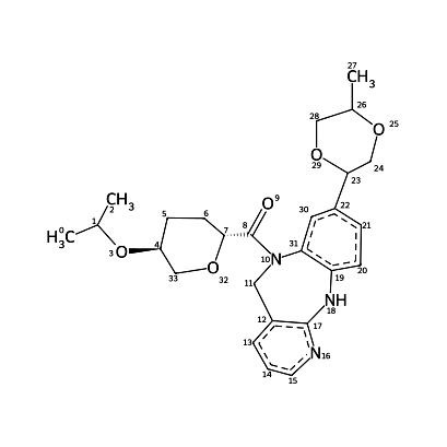 CC(C)O[C@H]1CC[C@H](C(=O)N2Cc3cccnc3Nc3ccc(C4COC(C)CO4)cc32)OC1